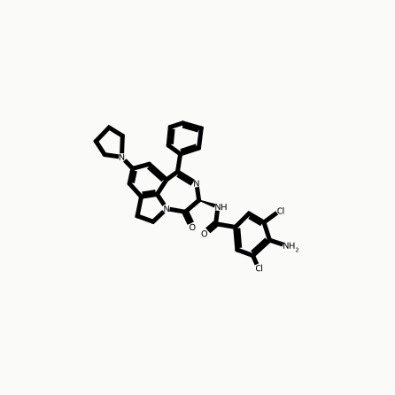 Nc1c(Cl)cc(C(=O)N[C@@H]2N=C(c3ccccc3)c3cc(N4CCCC4)cc4c3N(CC4)C2=O)cc1Cl